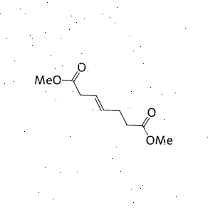 COC(=O)C/C=C/CCC(=O)OC